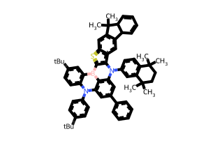 CC(C)(C)c1ccc(N2c3ccc(C(C)(C)C)cc3B3c4sc5cc6c(cc5c4N(c4ccc5c(c4)C(C)(C)CCC5(C)C)c4cc(-c5ccccc5)cc2c43)C2C=CC=CC2C6(C)C)cc1